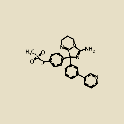 CS(=O)(=O)Oc1ccc(C2(c3cccc(-c4cccnc4)c3)N=C(N)N3CCCN=C32)cc1